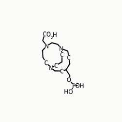 O=C(O)CN1CCCN2CCCN(CCCC(COP(O)O)CC2)CC1